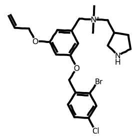 C=CCOc1cc(C[N+](C)(C)CC2CCNC2)cc(OCc2ccc(Cl)cc2Br)c1